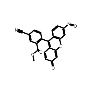 COC(=O)c1cc(C#N)ccc1-c1c2ccc(=O)cc-2oc2cc(N=O)ccc12